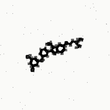 CCCCn1c(-c2cccc(Oc3cc(Cl)cc(Cl)c3)c2)nc2ccc(OCCN(C(C)C)C(C)C)cc21